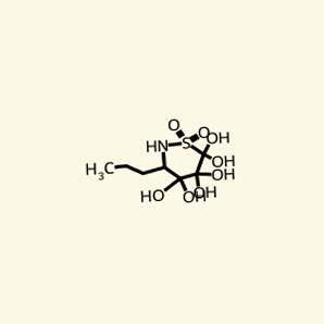 CCCC1NS(=O)(=O)C(O)(O)C(O)(O)C1(O)O